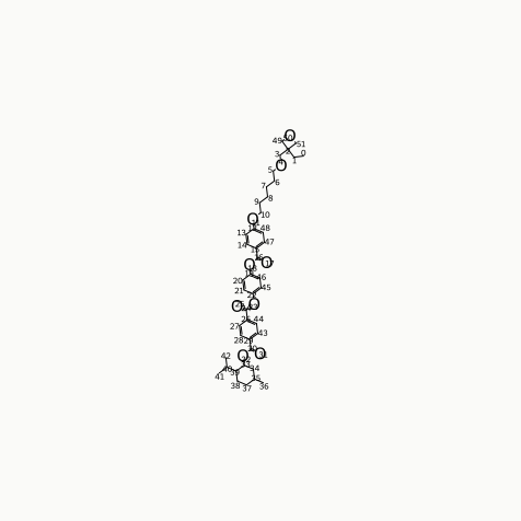 CCC1(COCCCCCCOc2ccc(C(=O)Oc3ccc(OC(=O)c4ccc(C(=O)OC5CC(C)CCC5C(C)C)cc4)cc3)cc2)COC1